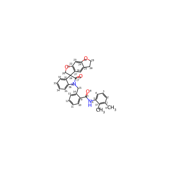 Cc1cccc(NC(=O)c2ccccc2CN2C(=O)C3(COc4cc5c(cc43)CCO5)c3ccccc32)c1C